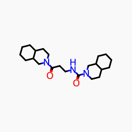 O=C(CCNC(=O)N1CCC2CCCCC2C1)N1CCC2CCCCC2C1